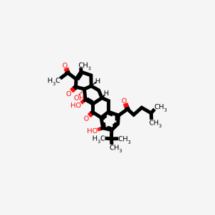 CC(=O)C1=C(C)C[C@H]2C[C@H]3Cc4c(C(=O)CCC(C)C)cc(C(C)(C)C)c(O)c4C(=O)C3=C(O)[C@@]2(O)C1=O